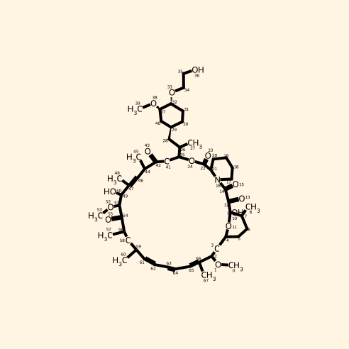 COC1CC2CCC(C)C(O)(O2)C(=O)C(=O)N2CCCCC2C(=O)OC(C(C)C[C@@H]2CC[C@@H](OCCO)[C@H](OC)C2)CC(=O)C(C)C=C(C)C(O)C(OC)C(=O)C(C)CC(C)C=CC=CC=C1C